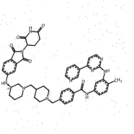 Cc1ccc(NC(=O)c2ccc(CN3CCC(CN4CCC[C@@H](Nc5ccc6c(c5)C(=O)N(C5CCC(=O)NC5=O)C6=O)C4)CC3)cc2)cc1Nc1nccc(-c2cccnc2)n1